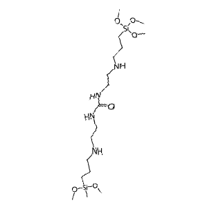 CO[Si](C)(CCCNCCNC(=O)NCCNCCC[Si](OC)(OC)OC)OC